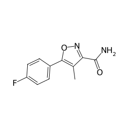 Cc1c(C(N)=O)noc1-c1ccc(F)cc1